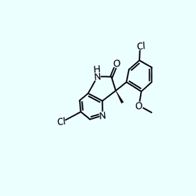 COc1ccc(Cl)cc1[C@@]1(C)C(=O)Nc2cc(Cl)cnc21